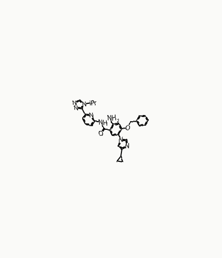 CC(C)n1cnnc1-c1cccc(NC(=O)c2cc(-n3cnc(C4CC4)c3)c(OCc3ccccc3)cc2N)n1